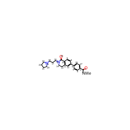 CNC(=O)c1ccc(-c2ccc3c(c2)CCN(CCCN2CCCC2)C3=O)cc1